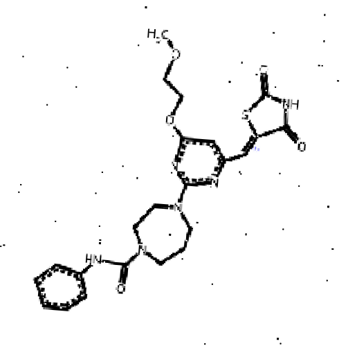 COCCOc1cc(/C=C2\SC(=O)NC2=O)nc(N2CCCN(C(=O)Nc3ccccc3)CC2)n1